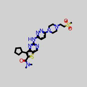 CN(C)C(=O)c1sc2cnc(Nc3ccc(N4CCN(CCS(C)(=O)=O)CC4)nn3)nc2c1C1CCCC1